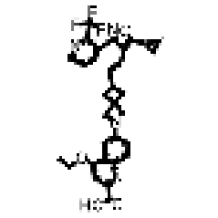 CCOc1cc(C(=O)O)nc2ccc(N3CC4(CC(C=Cc5c(-c6cccnc6C(F)(F)F)noc5C5CC5)C4)C3)cc12